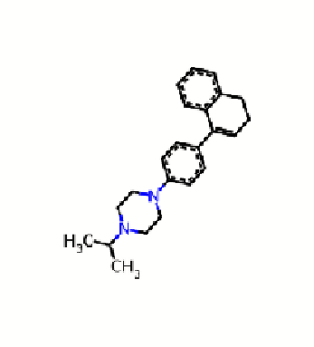 CC(C)N1CCN(c2ccc(C3=CCCc4ccccc43)cc2)CC1